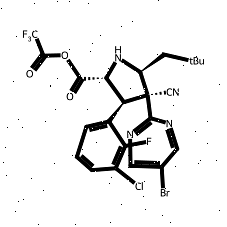 CC(C)(C)C[C@@H]1N[C@@H](C(=O)OC(=O)C(F)(F)F)[C@H](c2cccc(Cl)c2F)[C@]1(C#N)c1ncc(Br)cn1